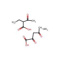 CC(=O)CC(=O)C(=O)O.CCC(C(C)=O)C(=O)O.[AlH3]